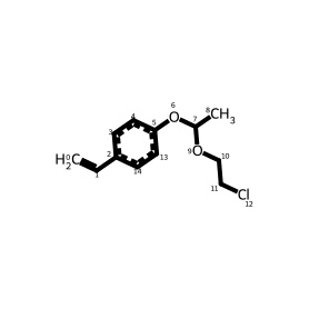 C=Cc1ccc(OC(C)OCCCl)cc1